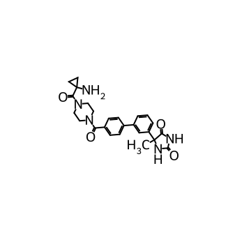 CC1(c2cccc(-c3ccc(C(=O)N4CCN(C(=O)C5(N)CC5)CC4)cc3)c2)NC(=O)NC1=O